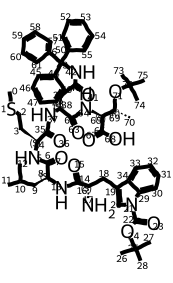 CSCC[C@H](NC(=O)[C@H](CC(C)C)NC(=O)[C@@H](N)Cc1cn(C(=O)OC(C)(C)C)c2ccccc12)C(=O)N[C@@H](CC(=O)NC(c1ccccc1)(c1ccccc1)c1ccccc1)C(=O)N[C@H](C(=O)O)[C@@H](C)OC(C)(C)C